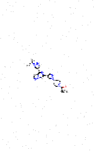 CCC(CC)n1cc(-c2nc(-c3cnn(C4CCN(C(=O)NC)CC4)c3)cn3nccc23)cn1